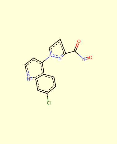 O=NC(=O)c1ccn(-c2ccnc3cc(Cl)ccc23)n1